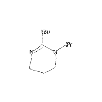 CC(C)N1CCCN=C1C(C)(C)C